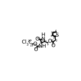 O=C(Cc1cccs1)OCC1NC(=O)C1NC(=O)OCC(Cl)(Cl)Cl